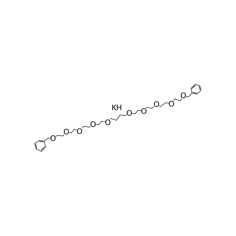 [KH].c1ccc(COCCOCCOCCOCCOCCCCOCCOCCOCCOCCOCc2ccccc2)cc1